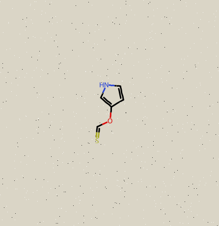 S=COc1cc[nH]c1